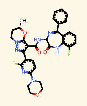 C[C@@H]1CCn2nc(-c3ccc(N4CCOCC4)nc3F)c(C(=O)N[C@H]3N=C(c4ccccc4)c4cccc(F)c4NC3=O)c2O1